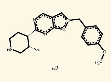 COc1ccc(Cn2cc3cnc([C@H]4CCNC[C@H]4F)nc3n2)cc1.Cl